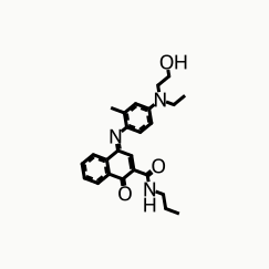 CCCNC(=O)C1=C/C(=N\c2ccc(N(CC)CCO)cc2C)c2ccccc2C1=O